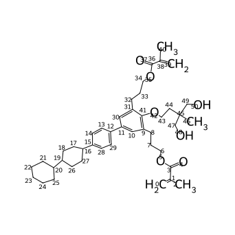 C=C(C)C(=O)OCCCc1cc(-c2ccc(C3CCC(C4CCCCC4)CC3)cc2)cc(CCCOC(=O)C(=C)C)c1OCCC(C)(CO)CO